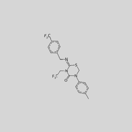 Cc1ccc(N2CS/C(=N/Cc3ccc(C(F)(F)F)cc3)N(CC(F)(F)F)C2=O)cc1